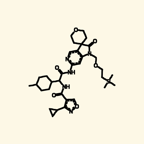 CC1CCC(C(NC(=O)c2conc2C2CC2)C(=O)Nc2cc3c(cn2)C2(CCOCC2)C(=O)N3COCC[Si](C)(C)C)CC1